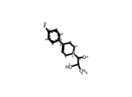 CC(O)C([O])N1CC=C(c2ccc(F)cc2)CC1